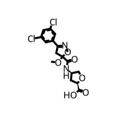 COC1(C(=O)N[C@H]2CO[C@@H](C(=O)O)C2)CC(c2cc(Cl)cc(Cl)c2)=NO1